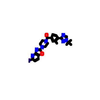 Cc1cc(C(=O)N2CCN(c3nc4nc(I)ccc4o3)CC2)ccc1-c1ncn(C(C)(C)C)n1